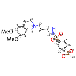 COc1cc2c(cc1OC)CN(CCCCNS(=O)(=O)c1ccc(S(C)(=O)=O)cc1)CC2